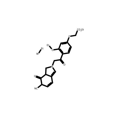 CCBr.CCOC(=O)COc1ccc(C(=O)CN2C=C3C=CC(C#N)C(=O)C3C2)c(OCC)c1